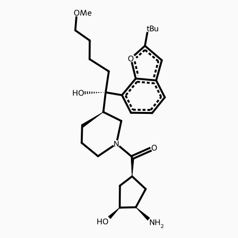 COCCCC[C@@](O)(c1cccc2cc(C(C)(C)C)oc12)[C@@H]1CCCN(C(=O)[C@H]2C[C@@H](N)[C@@H](O)C2)C1